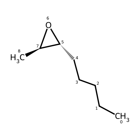 CCCCC[C@H]1O[C@@H]1C